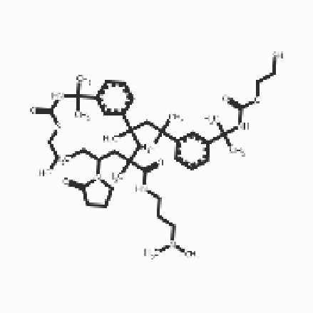 CCC(CC(C)(CC(C)(CC(C)(C)c1cccc(C(C)(C)NC(=O)OCCS)c1)c1cccc(C(C)(C)NC(=O)SCCO)c1)C(=O)NCCCN(C)C)N1CCCC1=O